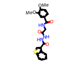 COc1ccc(C(=O)NCC(=O)NNC(=O)c2csc3ccccc23)cc1OC